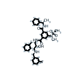 C[C@@H](NC(=O)c1cc(C(=O)N[C@@H](Cc2ccccc2)[C@H](O)CNCc2cccc(F)c2)cc(N(C)S(C)(=O)=O)c1)c1ccccc1